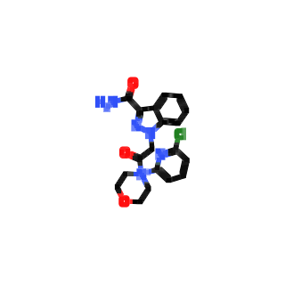 NC(=O)c1nn(CC(=O)[N+]2(c3cccc(Cl)n3)CCOCC2)c2ccccc12